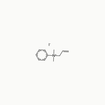 C=CC[N+](C)(C)c1ccccc1.[I-]